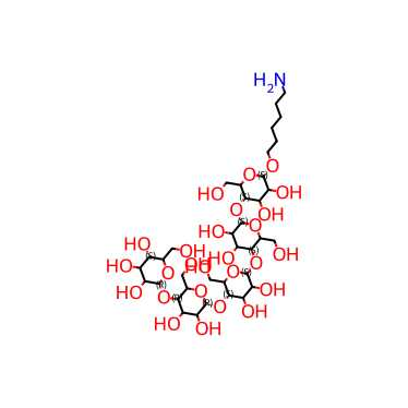 NCCCCCCO[C@H]1OC(CO)[C@@H](O[C@@H]2OC(CO)[C@@H](O[C@@H]3OC(CO)[C@@H](O[C@H]4OC(CO)[C@H](O[C@H]5OC(CO)[C@@H](O)C(O)C5O)C(O)C4O)C(O)C3O)C(O)C2O)C(O)C1O